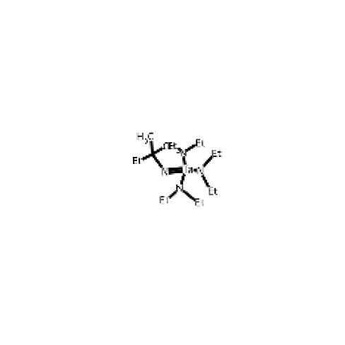 CC[N](CC)[Ta](=[N]C(C)(C)CC)([N](CC)CC)[N](CC)CC